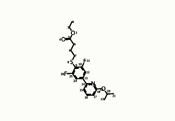 CCOC(=O)CCCSc1c(F)cc(-c2cccc(OC(C)C)n2)cc1F